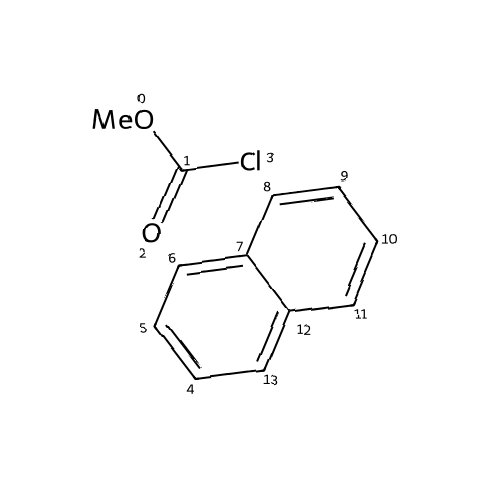 COC(=O)Cl.c1ccc2ccccc2c1